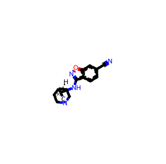 N#Cc1ccc2c(N[C@H]3CN4CCC3CC4)noc2c1